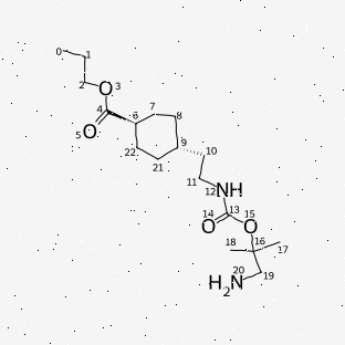 CCCOC(=O)[C@H]1CC[C@H](CCNC(=O)OC(C)(C)CN)CC1